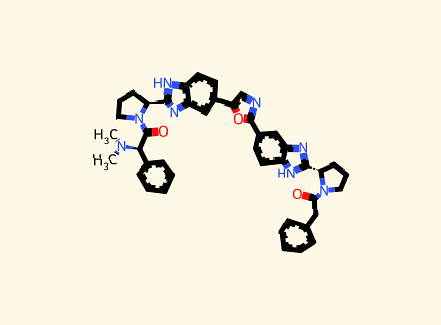 CN(C)[C@@H](C(=O)N1CCC[C@H]1c1nc2cc(-c3cnc(-c4ccc5[nH]c([C@@H]6CCCN6C(=O)Cc6ccccc6)nc5c4)o3)ccc2[nH]1)c1ccccc1